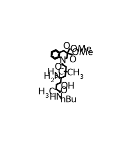 CCCCNC(=O)[C@H](C)C[C@H](O)[C@@H](N)CC(C)(C)CC(=O)N1CC(C(=O)OC)(C(=O)OC)Cc2ccccc21